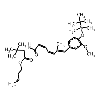 C=CCCOC(=O)[C@@H](NC(=O)\C=C/C=C\C(C)=C\c1ccc(O[Si](C)(C)C(C)(C)C)c(OC)c1)C(C)(C)C